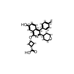 O=C(O)[C@H]1C[C@H](Oc2nc(C3CCOCC3)c(-c3ccc(F)cc3)c3ccc(O)cc23)C1